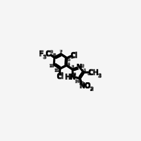 Cc1nc(-c2c(Cl)cc(C(F)(F)F)cc2Cl)[nH]c1[N+](=O)[O-]